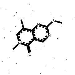 CSc1ncc2c(=O)n(C)cc(C)c2n1